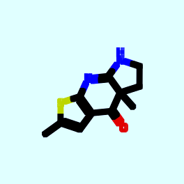 Cc1cc2c(s1)N=C1NCCC1(C)C2=O